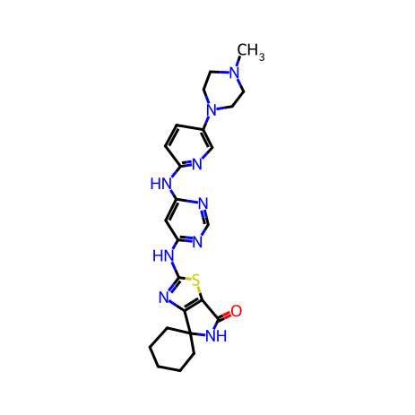 CN1CCN(c2ccc(Nc3cc(Nc4nc5c(s4)C(=O)NC54CCCCC4)ncn3)nc2)CC1